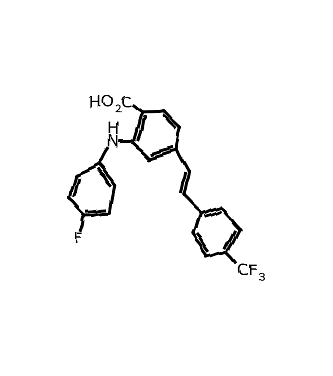 O=C(O)c1ccc(C=Cc2ccc(C(F)(F)F)cc2)cc1Nc1ccc(F)cc1